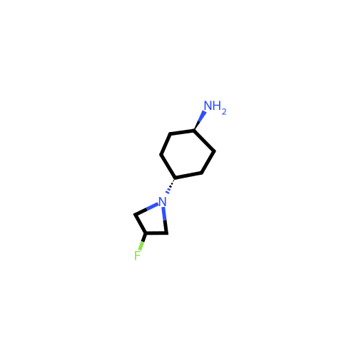 N[C@H]1CC[C@H](N2CC(F)C2)CC1